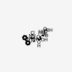 O=P(O)(O)CP(=O)(O)CC[C@H]1O[C@@H](n2cnc3c(-n4c5ccccc5c5ccccc54)nc(Cl)nc32)C(O)[C@H]1O